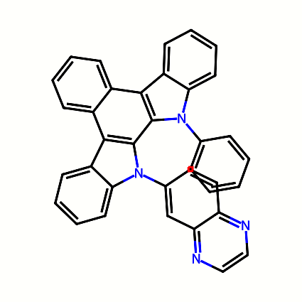 c1ccc(-n2c3ccccc3c3c4ccccc4c4c5ccccc5n(-c5ccc6nccnc6c5)c4c32)cc1